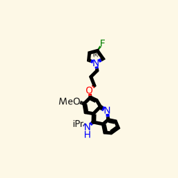 COc1cc2c(NC(C)C)c3ccccc3nc2cc1OCCCN1CC[C@@H](F)C1